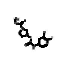 CC(C)(C)OC(=O)N1CCN(SC(=O)Nc2ccc(F)c(Cl)c2)C1